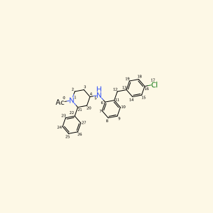 CC(=O)N1CCC(Nc2ccccc2Cc2ccc(Cl)cc2)CC1c1ccccc1